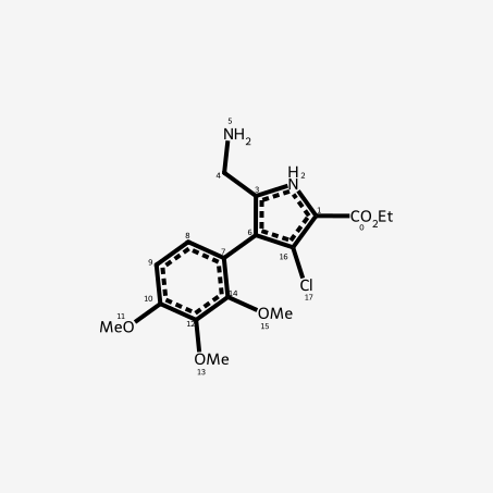 CCOC(=O)c1[nH]c(CN)c(-c2ccc(OC)c(OC)c2OC)c1Cl